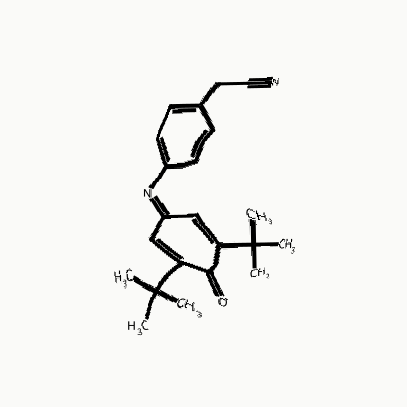 CC(C)(C)C1=CC(=Nc2ccc(CC#N)cc2)C=C(C(C)(C)C)C1=O